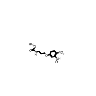 CCNc1cc(OCCCNC(=O)OC(C)(C)C)ccc1[N+](=O)[O-]